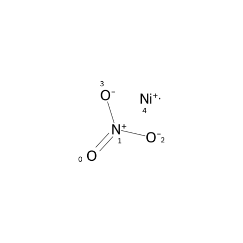 O=[N+]([O-])[O-].[Ni+]